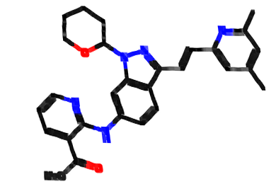 COC(=O)c1cccnc1Nc1ccc2c(/C=C/c3cc(C)cc(C)n3)nn(C3CCCCO3)c2c1